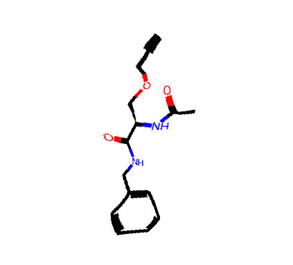 C#CCOC[C@@H](NC(C)=O)C(=O)NCc1ccccc1